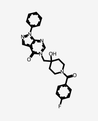 O=C(c1ccc(F)cc1)N1CCC(O)(Cn2cnc3c(cnn3-c3ccccc3)c2=O)CC1